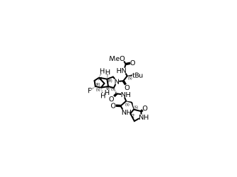 COC(=O)N[C@H](C(=O)N1C[C@@H]2[C@H]3C[C@@H]([C@@H]2[C@H]1C(=O)N[C@@H](C[C@@H]1CCNC1=O)C(N)=O)[C@H](F)C3)C(C)(C)C